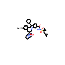 COc1ccc2c(c1)C=C(C(=O)N1C3CCC1CN(C)C3)Cn1c-2c(C2CCCCC2)c2ccc(C(=O)NS(=O)(=O)C3(CC4CC4)CC3)cc21